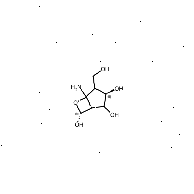 NC12O[C@@H](O)C1C(O)[C@H](O)C2CO